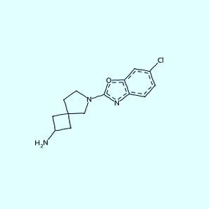 NC1CC2(CCN(c3nc4ccc(Cl)cc4o3)C2)C1